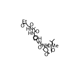 CCC(=O)CCC(=O)N[C@@H](C)C(=O)Nc1ccc(CNC(=O)N[C@@H]2CC[C@]3(CO3)[C@@H](C3(C)O[C@@H]3CC=C(C)C)[C@@H]2OC)cc1